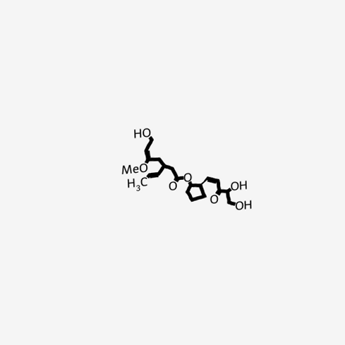 C/C=C/C(CC(=O)OC1CCC[C@@H]1/C=C\C(=O)C(O)CO)C/C(=C\CO)OC